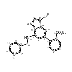 CCOC(=O)c1ccccc1-c1cc(NCc2cccnc2)n2ncc(Br)c2n1